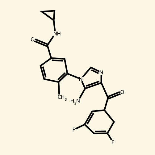 Cc1ccc(C(=O)NC2CC2)cc1-n1cnc(C(=O)C2C=C(F)C=C(F)C2)c1N